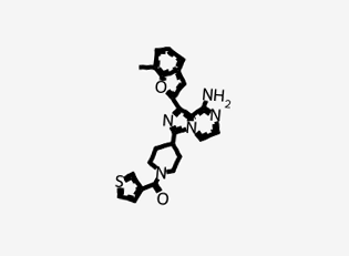 Cc1cccc2cc(-c3nc(C4CCN(C(=O)c5ccsc5)CC4)n4ccnc(N)c34)oc12